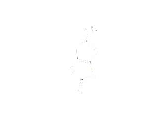 N#CC1Sc2sc(=S)sc2S1